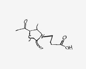 CC(=O)C1SC(=S)N(CCC(=O)O)C1C